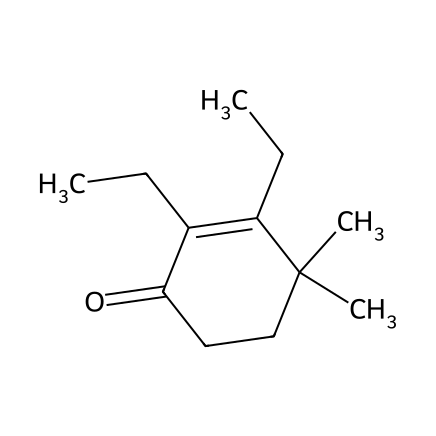 CCC1=C(CC)C(C)(C)CCC1=O